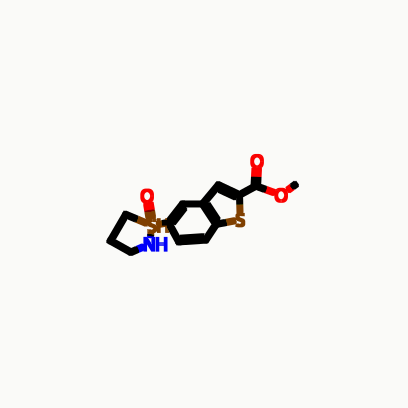 COC(=O)c1cc2cc([SH]3(=O)CCCN3)ccc2s1